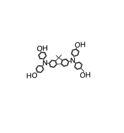 CC1(C)c2cc(N(c3ccc(O)cc3)c3ccc(O)cc3)ccc2-c2ccc(N(c3ccc(O)cc3)c3ccc(CO)cc3)cc21